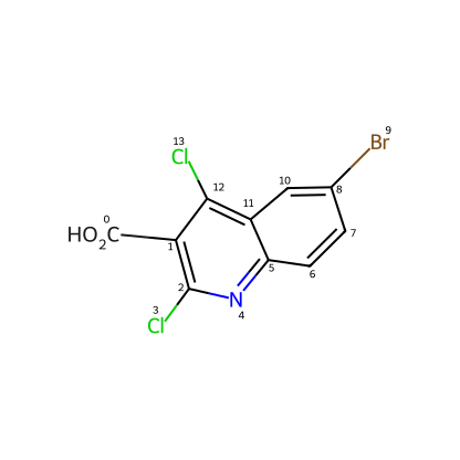 O=C(O)c1c(Cl)nc2ccc(Br)cc2c1Cl